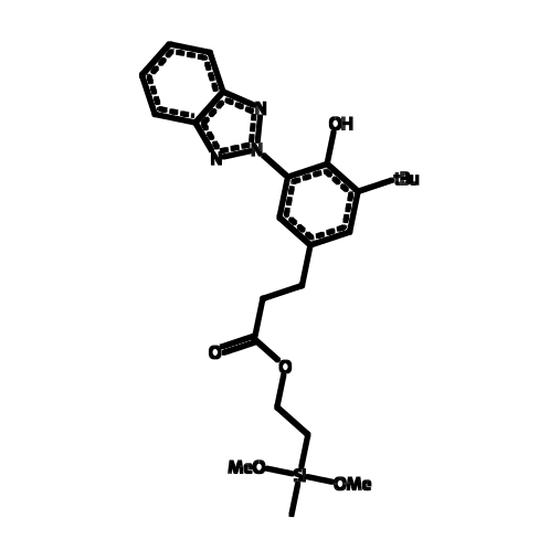 CO[Si](C)(CCOC(=O)CCc1cc(-n2nc3ccccc3n2)c(O)c(C(C)(C)C)c1)OC